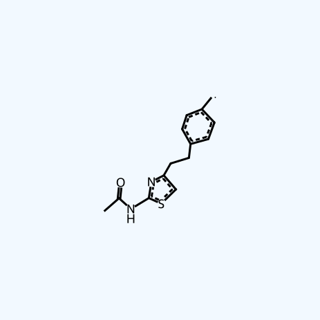 [CH2]c1ccc(CCc2csc(NC(C)=O)n2)cc1